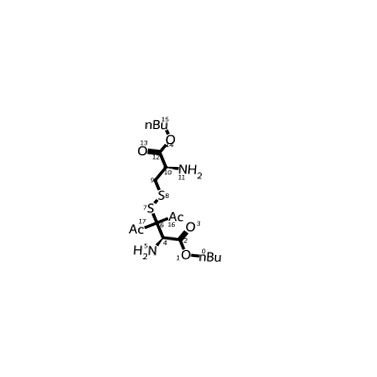 CCCCOC(=O)[C@@H](N)C(SSC[C@H](N)C(=O)OCCCC)(C(C)=O)C(C)=O